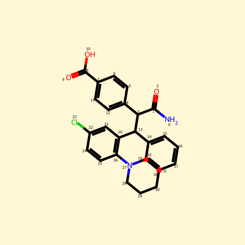 NC(=O)C(c1ccc(C(=O)O)cc1)C(c1ccccc1)c1cc(Cl)ccc1N1CCCCC1